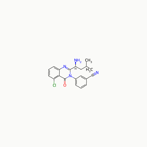 CC(C)C[C@H](N)c1nc2cccc(Cl)c2c(=O)n1-c1cccc(C#N)c1